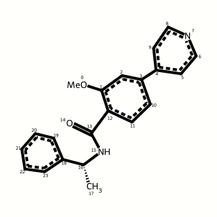 COc1cc(-c2ccncc2)ccc1C(=O)N[C@H](C)c1ccccc1